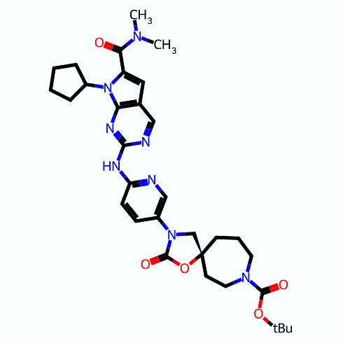 CN(C)C(=O)c1cc2cnc(Nc3ccc(N4C[C@]5(CCCN(C(=O)OC(C)(C)C)CC5)OC4=O)cn3)nc2n1C1CCCC1